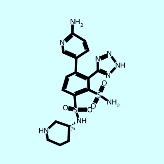 Nc1ccc(-c2ccc(S(=O)(=O)N[C@@H]3CCCNC3)c(S(N)(=O)=O)c2-c2nn[nH]n2)cn1